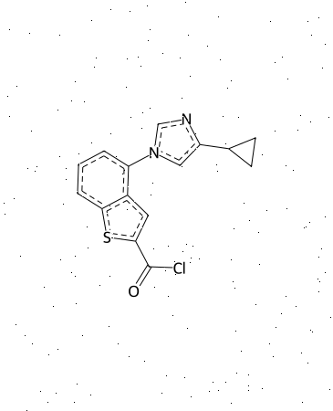 O=C(Cl)c1cc2c(-n3cnc(C4CC4)c3)cccc2s1